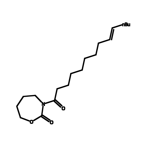 CCCCC=CCCCCCCCC(=O)N1CCCCOC1=O